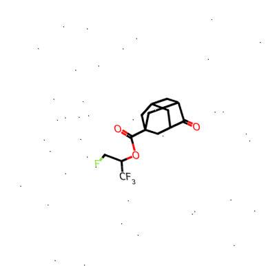 O=C1C2CC3CC1CC(C(=O)OC(CF)C(F)(F)F)(C3)C2